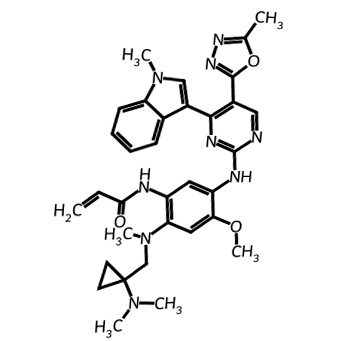 C=CC(=O)Nc1cc(Nc2ncc(-c3nnc(C)o3)c(-c3cn(C)c4ccccc34)n2)c(OC)cc1N(C)CC1(N(C)C)CC1